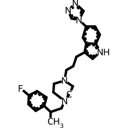 CC(CN1CCN(CCCc2c[nH]c3ccc(-n4cnnc4)cc23)CC1)c1ccc(F)cc1